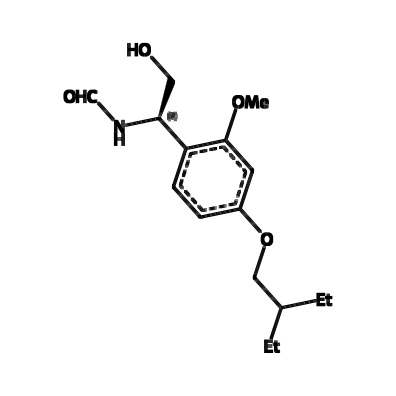 CCC(CC)COc1ccc([C@H](CO)NC=O)c(OC)c1